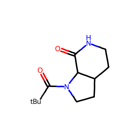 CC(C)(C)C(=O)N1CCC2CCNC(=O)C21